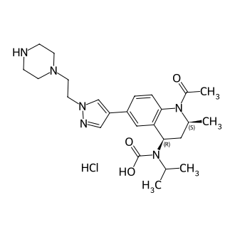 CC(=O)N1c2ccc(-c3cnn(CCN4CCNCC4)c3)cc2[C@H](N(C(=O)O)C(C)C)C[C@@H]1C.Cl